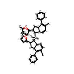 CC1=C(c2ccccc2)C2CC(c3ccc(C)o3)C([Si](C)(C)C3C(c4ccc(C)o4)CC4C(c5ccccc5)=C(C)C=CC43)C2C=C1